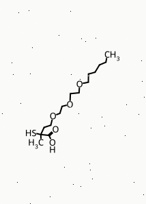 CCCCCCOCCOCCOCCC(C)(S)C(=O)O